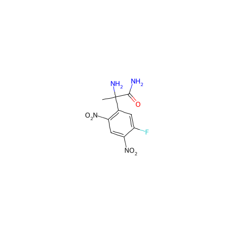 CC(N)(C(N)=O)c1cc(F)c([N+](=O)[O-])cc1[N+](=O)[O-]